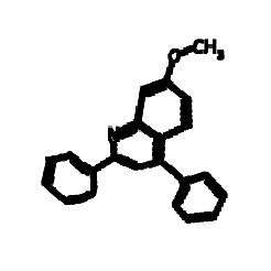 COc1ccc2c(-c3ccccc3)cc(-c3ccccc3)nc2c1